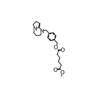 COC(=O)CCCCC(=O)OCc1ccc(CN2CCCN3CCC=C32)cc1